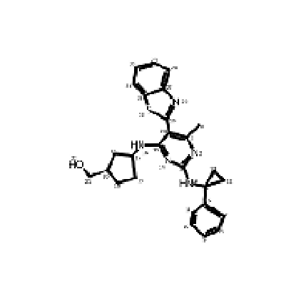 Cc1nc(NC2(c3ccccc3)CC2)nc(N[C@H]2CC[C@@H](CO)C2)c1-c1nc2ccccc2s1